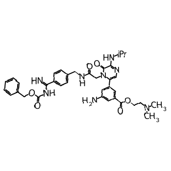 CC(C)Nc1ncc(-c2cc(N)cc(C(=O)OCCN(C)C)c2)n(CC(=O)NCc2ccc(C(=N)NC(=O)OCc3ccccc3)cc2)c1=O